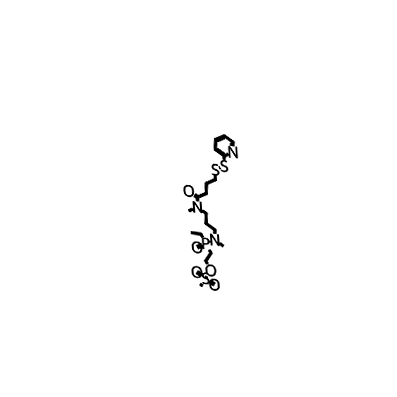 CCP(=O)(CCOS(C)(=O)=O)N(C)CCCN(C)C(=O)CCCSSc1ccccn1